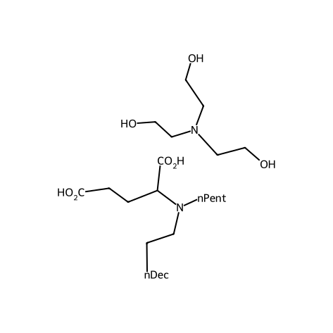 CCCCCCCCCCCCN(CCCCC)C(CCC(=O)O)C(=O)O.OCCN(CCO)CCO